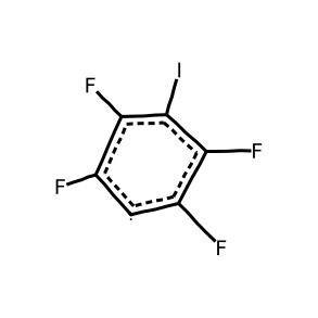 Fc1[c]c(F)c(F)c(I)c1F